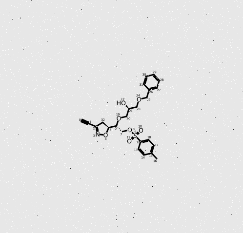 C#CC1=NO[C@H]([C@@H](COS(=O)(=O)c2ccc(C)cc2)OC[C@@H](O)COCc2ccccc2)C1